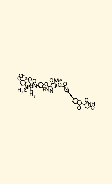 COc1cc2c(Oc3ccc(NC(=O)c4c(C)n(C)c5ccc(OC(F)(F)F)cc5c4=O)cc3F)ncnc2cc1OCC(=O)N1CC(C#Cc2ccc3c(c2)CC(C2CCC(=O)NC2=O)C3=O)C1